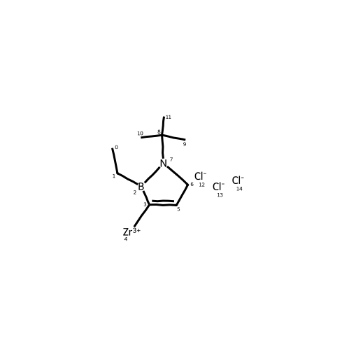 CCB1[C]([Zr+3])=CCN1C(C)(C)C.[Cl-].[Cl-].[Cl-]